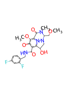 COCC1N(C)C(=O)c2c(OC)c(=O)c(C(=O)NCc3ccc(F)cc3F)c3n2N1CC3O